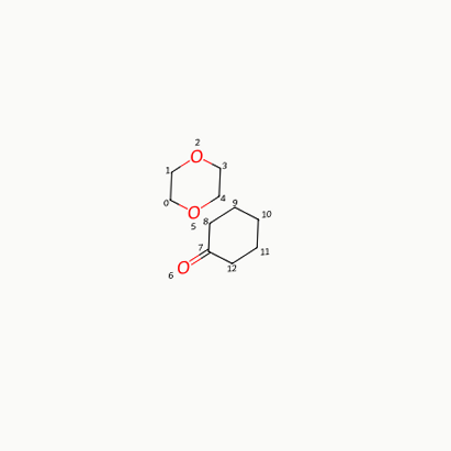 C1COCCO1.O=C1CCCCC1